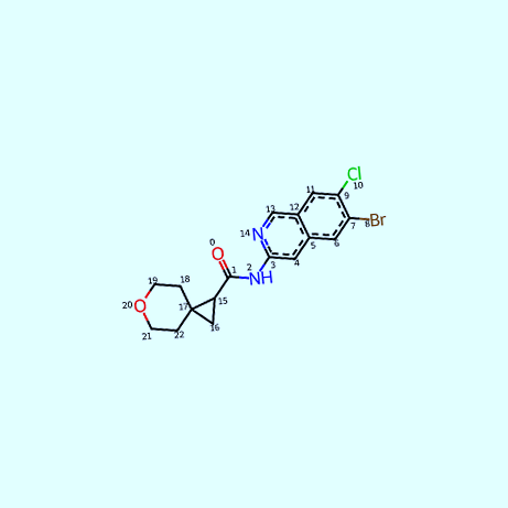 O=C(Nc1cc2cc(Br)c(Cl)cc2cn1)C1CC12CCOCC2